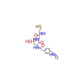 O=CNCc1ccc(CC(=O)NC(CC(=O)O)C(=O)NCC(=O)NCCS)cc1